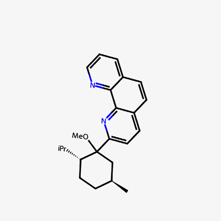 COC1(c2ccc3ccc4cccnc4c3n2)C[C@@H](C)CC[C@@H]1C(C)C